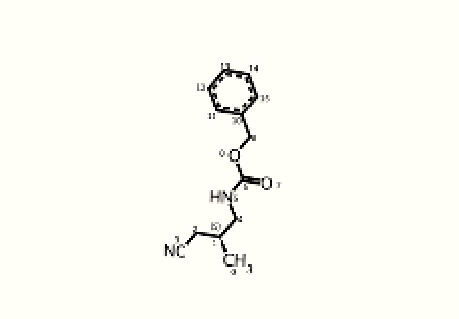 C[C@@H](CC#N)CNC(=O)OCc1ccccc1